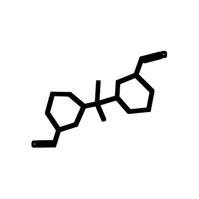 CC(C)(C1CCCC(C=O)C1)C1CCCC(C=O)C1